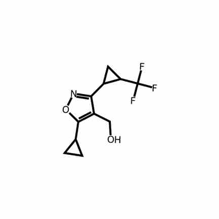 OCc1c(C2CC2C(F)(F)F)noc1C1CC1